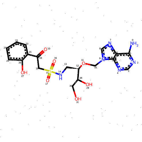 Nc1ncnc2c1ncn2CO[C@H](CNS(=O)(=O)CC(=O)c1ccccc1O)C(O)CO